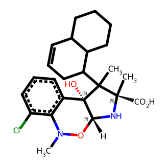 CN1O[C@H]2N[C@](C)(C(=O)O)C(C)(C3CC=CC4CCCCC43)[C@]2(O)c2cccc(Cl)c21